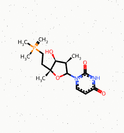 C=P(C)(C)CC[C@@]1(C)OC(n2ccc(=O)[nH]c2=O)[C@H](C)[C@@H]1O